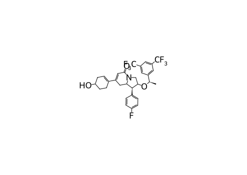 C[C@@H](OC1CN2C(=O)C=C(C3=CCC(O)CC3)CC2[C@@H]1c1ccc(F)cc1)c1cc(C(F)(F)F)cc(C(F)(F)F)c1